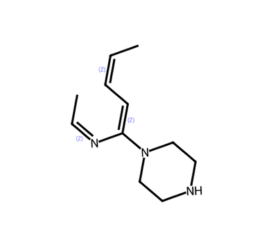 C\C=C/C=C(\N=C/C)N1CCNCC1